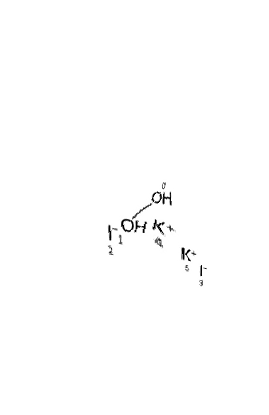 OO.[I-].[I-].[K+].[K+]